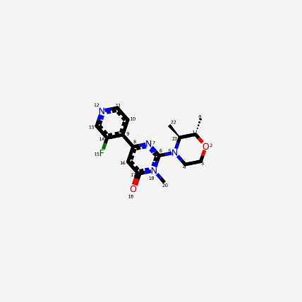 C[C@@H]1OCCN(c2nc(-c3ccncc3F)cc(=O)n2C)[C@H]1C